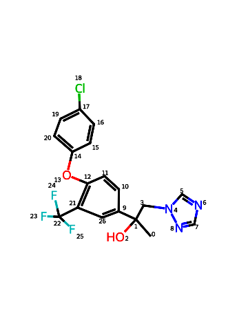 CC(O)(Cn1cncn1)c1ccc(Oc2ccc(Cl)cc2)c(C(F)(F)F)c1